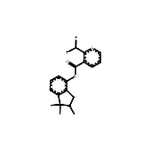 CC1Cc2c(NC(=O)c3cccnc3C(F)F)cccc2C1(C)C